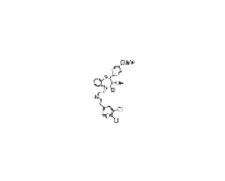 COc1ccc(C2Sc3ccccc3N(CCN(C)CCc3ccc(Cl)c(Cl)c3)C(=O)C2O)cc1